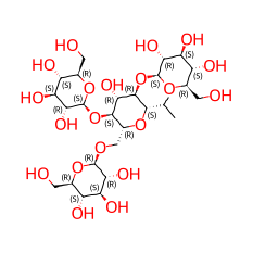 CC(C)[C@@H]1O[C@H](CO[C@@H]2O[C@H](CO)[C@@H](O)[C@H](O)[C@H]2O)[C@@H](O[C@@H]2O[C@H](CO)[C@@H](O)[C@H](O)[C@H]2O)[C@H](O)[C@H]1O[C@@H]1O[C@H](CO)[C@@H](O)[C@H](O)[C@H]1O